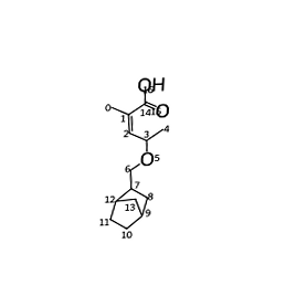 CC(=CC(C)OCC1CC2CCC1C2)C(=O)O